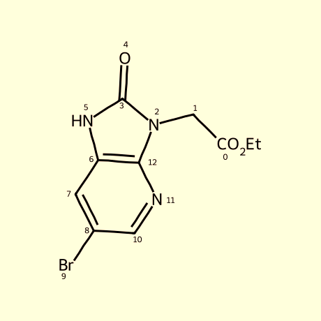 CCOC(=O)Cn1c(=O)[nH]c2cc(Br)cnc21